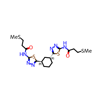 CSCCC(=O)Nc1nnc([C@@H]2CCC[C@@H](c3nnc(NC(=O)CCSC)s3)C2)s1